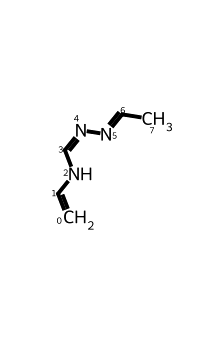 C=CN/C=N\N=C\C